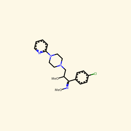 CON=C(c1ccc(Cl)cc1)C(CN1CCN(c2ccccn2)CC1)OC